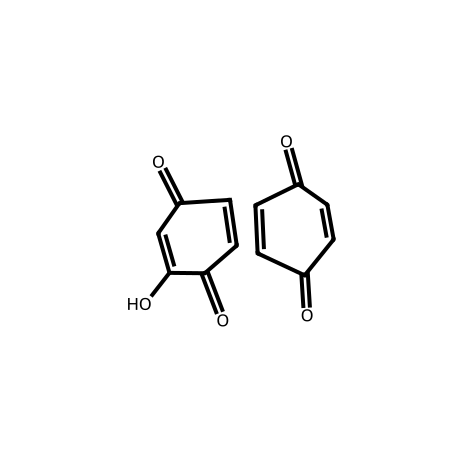 O=C1C=CC(=O)C(O)=C1.O=C1C=CC(=O)C=C1